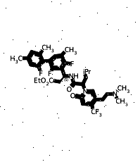 CCOC(=O)C[C@H](NC(=O)C(CC(C)C)n1cc(CCN(C)C)c(C(F)(F)F)cc1=O)c1c(F)c(C)cc(-c2c(C)cc(C)cc2F)c1F